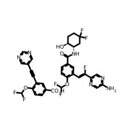 Nc1cnc(/C(F)=C/c2cc(C(=O)N[C@H]3CC(F)(F)CC[C@@H]3O)ccc2OC(F)F)cn1.O=C(O)c1ccc(OC(F)F)c(C#Cc2cncnc2)c1